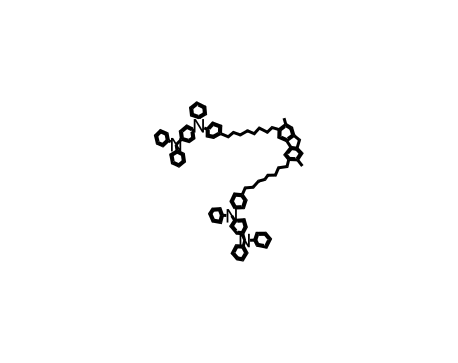 Cc1cc2c(cc1CCCCCCCCc1ccc(N(c3ccccc3)c3ccc(N(c4ccccc4)c4ccccc4)cc3)cc1)-c1cc(CCCCCCCCc3ccc(N(c4ccccc4)c4ccc(N(c5ccccc5)c5ccccc5)cc4)cc3)c(C)cc1C2